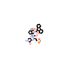 CS(=O)(=O)/C(F)=C/[C@H](C[C@@H]1CCNC1=O)NC(=O)[C@@H]1[C@@H]2CCC[C@@H]2CN1C(=O)C1(O)c2ccccc2-c2ccccc21